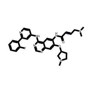 CN(C)C/C=C/C(=O)Nc1cc2c(Nc3ccnc(-c4ccccc4F)c3)ncnc2cc1OC1CCN(C)C1